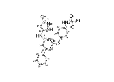 CCS(=O)(=O)Nc1ccc(Sc2nc(Nc3cc(C)n[nH]3)cc(-c3ccccc3)n2)cc1